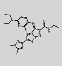 CCNC(=O)C1=Nn2nc(-c3cc(C)n(C)n3)nc2/C1=N\c1ccc(N(CC)CC)nc1C